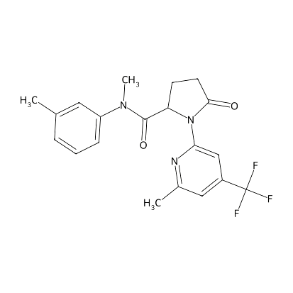 Cc1cccc(N(C)C(=O)C2CCC(=O)N2c2cc(C(F)(F)F)cc(C)n2)c1